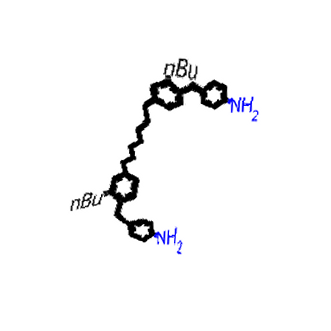 CCCCc1cc(CCCCCCCc2ccc(Cc3ccc(N)cc3)c(CCCC)c2)ccc1Cc1ccc(N)cc1